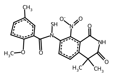 COc1ccc(C)cc1C(=O)N(S)c1ccc2c(c1[N+](=O)[O-])C(=O)NC(=O)C2(C)C